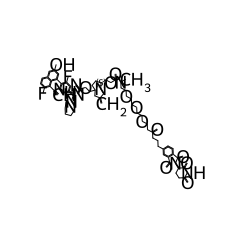 C#Cc1c(F)ccc2cc(O)cc(-c3ncc4c(N5CC6CCC(C5)N6)nc(OCC56CC[C@@H](COC(=O)N(C)CCOCCOCCOCCC(=O)CCCc7ccc8c(c7)C(=O)N(C7CCC(=O)NC7=O)C8=O)N5CC(=C)C6)nc4c3F)c12